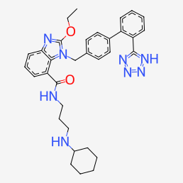 CCOc1nc2cccc(C(=O)NCCCNC3CCCCC3)c2n1Cc1ccc(-c2ccccc2-c2nnn[nH]2)cc1